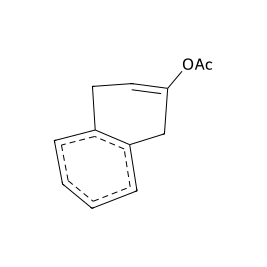 CC(=O)OC1=CCc2ccccc2C1